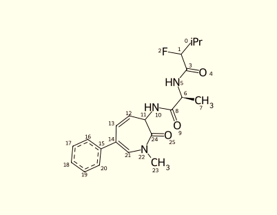 CC(C)C(F)C(=O)N[C@@H](C)C(=O)NC1C=CC(c2ccccc2)=CN(C)C1=O